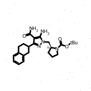 CC(C)(C)OC(=O)N1CCC[C@H]1Cn1nc(C2CCc3ccccc3C2)c(C(N)=O)c1N